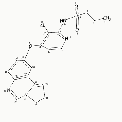 CCCS(=O)(=O)Nc1nccc(Oc2ccc3c(c2)C2=NCCN2C=N3)c1Cl